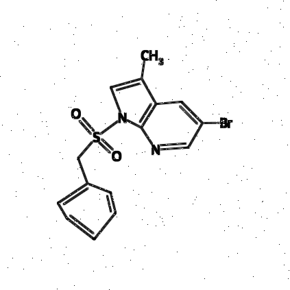 Cc1cn(S(=O)(=O)Cc2ccccc2)c2ncc(Br)cc12